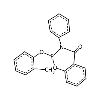 Cc1ccccc1OP1Oc2ccccc2C(=O)N1c1ccccc1